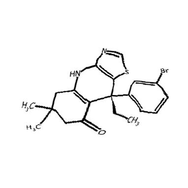 CC[C@@]1(c2cccc(Br)c2)C2=C(CC(C)(C)CC2=O)Nc2ncsc21